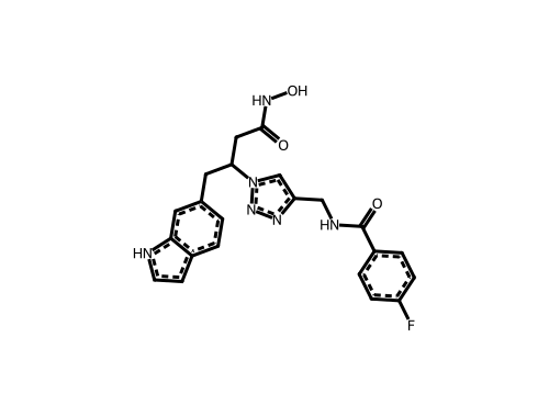 O=C(CC(Cc1ccc2cc[nH]c2c1)n1cc(CNC(=O)c2ccc(F)cc2)nn1)NO